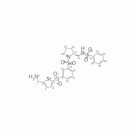 NCc1ccc(S(=O)(=O)c2cccc(S(=O)(=O)N3CCC[C@H]3CNS(=O)(=O)c3ccccc3)c2)s1